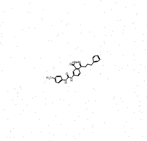 Cc1ccc(NC(=O)Nc2ccc3c(CCCc4ccccc4)n[nH]c(=O)c3c2)cc1